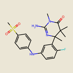 CN1C(=O)C(C)(C)C(C)(c2cc(Nc3ccc(S(C)(=O)=O)cc3)ccc2F)N=C1N